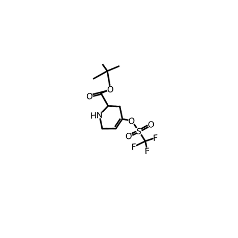 CC(C)(C)OC(=O)C1CC(OS(=O)(=O)C(F)(F)F)=CCN1